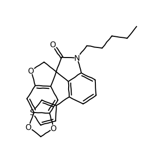 CCCCCN1C(=O)C2(COc3cc4c(cc32)OCO4)c2c(-c3ccsc3)cccc21